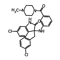 CN1CCN(C(=O)c2cccc(NC3(Cc4cccc(Cl)c4)C(=O)Nc4cc(Cl)ccc43)c2)CC1